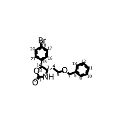 O=C1N[C@@H](CCOCc2ccccc2)[C@H](c2ccc(Br)cc2)O1